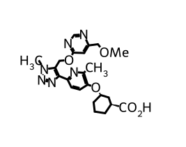 COCc1cc(OCc2c(-c3ccc(O[C@H]4CCC[C@H](C(=O)O)C4)c(C)n3)nnn2C)ncn1